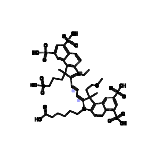 CC[N+]1=C(/C=C/C=C2/N(CCCCCC(=O)O)c3ccc4c(S(=O)(=O)O)cc(S(=O)(=O)O)cc4c3C2(C)CCOC)C(C)(CCCS(=O)(=O)O)c2c1ccc1c(S(=O)(=O)O)cc(S(=O)(=O)O)cc21